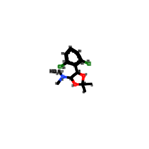 CN(C1OC(C)(C)OC1c1c(Cl)cccc1Cl)S(=O)(=O)O